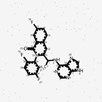 CC(Nc1ncnc2[nH]cnc12)c1cc2ccc(F)cc2c(=O)n1-c1cc(F)ccc1F